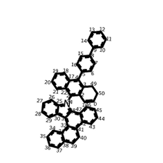 C1=Cc2c(c(-c3ccc(-c4ccccc4)cc3)c3ccccc3c2-n2c3ccccc3c3c4c5ccccc5ccc4c4ccccc4c32)CC1